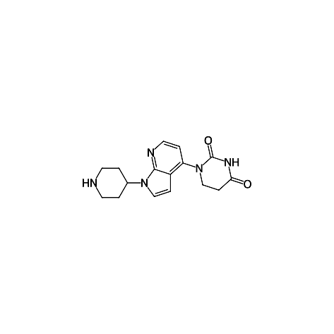 O=C1CCN(c2ccnc3c2ccn3C2CCNCC2)C(=O)N1